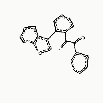 O=C(C(=O)c1ccccc1-c1noc2ccccc12)c1ccccc1